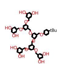 CC(C)(C)c1ccc(OCc2cc(OCc3cc(OCc4cc(O)cc(O)c4)cc(OCc4cc(O)cc(O)c4)c3)cc(OCc3cc(OCc4cc(O)cc(O)c4)cc(OCc4cc(O)cc(O)c4)c3)c2)cc1